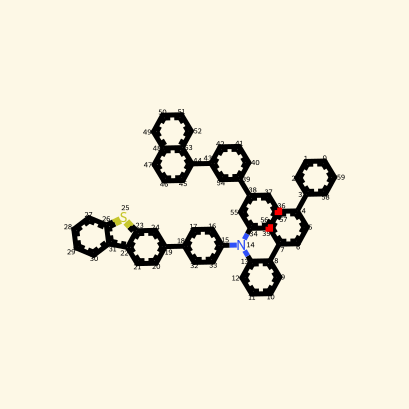 c1ccc(-c2ccc(-c3ccccc3N(c3ccc(-c4ccc5c(c4)sc4ccccc45)cc3)c3cccc(-c4cccc(-c5cccc6ccccc56)c4)c3)cc2)cc1